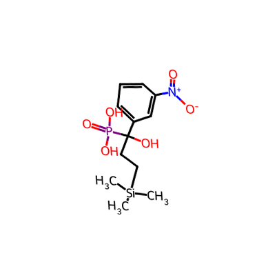 C[Si](C)(C)CCC(O)(c1cccc([N+](=O)[O-])c1)P(=O)(O)O